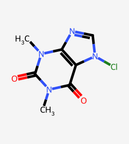 Cn1c(=O)c2c(ncn2Cl)n(C)c1=O